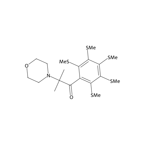 CSc1c(SC)c(SC)c(C(=O)C(C)(C)N2CCOCC2)c(SC)c1SC